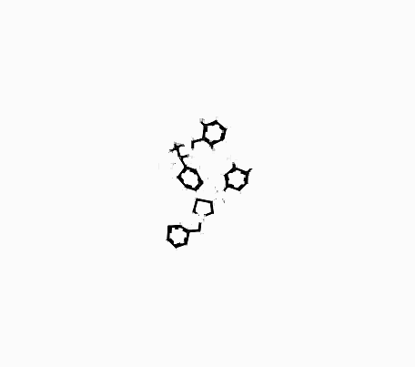 O=S(=O)(c1ccc(F)c(Br)c1)[C@H]1CN(Cc2ccccc2)C[C@@H]1c1ccc([C@]([SiH3])(OCc2c(F)cccc2F)C(F)(F)F)cc1